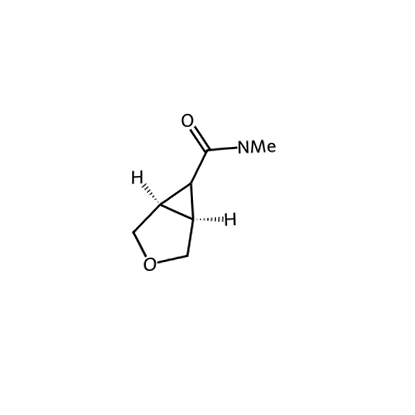 CNC(=O)C1[C@H]2COC[C@@H]12